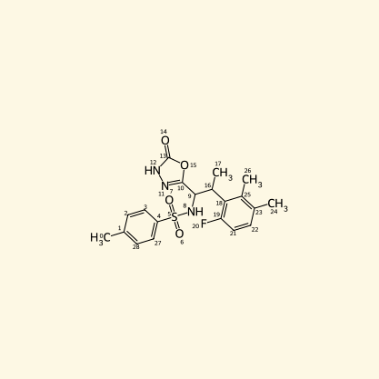 Cc1ccc(S(=O)(=O)NC(c2n[nH]c(=O)o2)C(C)c2c(F)ccc(C)c2C)cc1